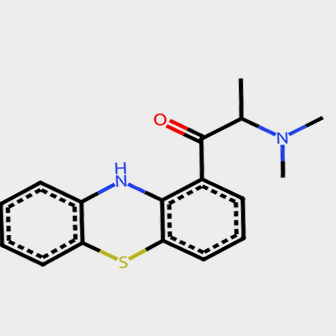 CC(C(=O)c1cccc2c1Nc1ccccc1S2)N(C)C